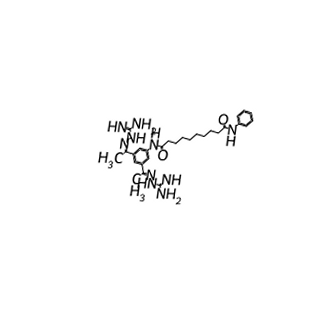 C/C(=N/NC(=N)N)c1cc(NC(=O)CCCCCCCCC(=O)Nc2ccccc2)cc(/C(C)=N/NC(=N)N)c1